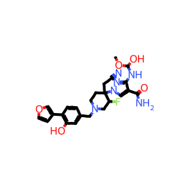 COC(O)Nc1nn(C2(CC#N)CCN(Cc3ccc(-c4ccoc4)c(O)c3)CC2F)cc1C(N)=O